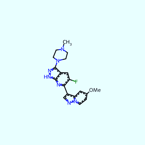 COc1ccn2ncc(-c3nc4[nH]nc(N5CCN(C)CC5)c4cc3F)c2c1